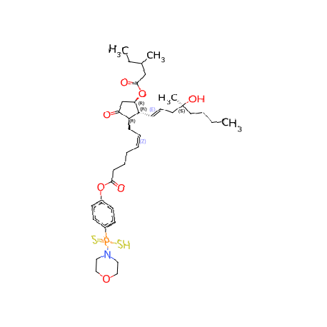 CCCC[C@](C)(O)C/C=C/[C@H]1[C@H](OC(=O)CC(C)CC)CC(=O)[C@@H]1C/C=C\CCCC(=O)Oc1ccc(P(=S)(S)N2CCOCC2)cc1